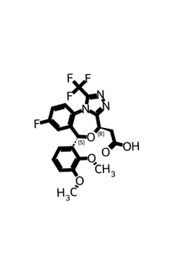 COc1cccc([C@H]2O[C@H](CC(=O)O)c3nnc(C(F)(F)F)n3-c3ccc(F)cc32)c1OC